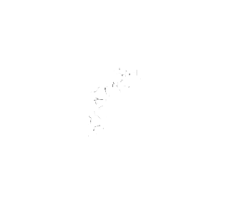 COc1ccc(-c2cc3cc(CN4CCC4C(N)=O)ccc3o2)cc1